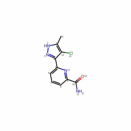 Cc1[nH]nc(-c2cccc(C(N)=O)n2)c1Cl